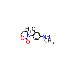 CNc1ccc(N2CCCOC2=O)c(C)c1